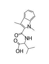 Cc1c(C(=O)NC(C(=O)O)C(C)C)n(C)c2ccccc12